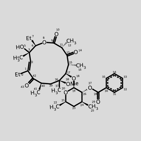 CC/C1=C\[C@](C)(O)[C@@H](CC)OC(=O)[C@H](C)C(=O)[C@H](C)[C@@H](O[C@@H]2O[C@H](C)C[C@H](C)[C@H]2OC(=O)c2ccccc2)[C@@](C)(OC)C[C@@H](C)C1=O